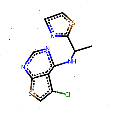 CC(Nc1ncnc2scc(Cl)c12)c1nccs1